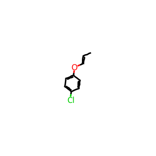 CC=COc1ccc(Cl)cc1